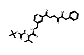 CC(C)[C@H](NC(=O)OC(C)(C)C)C(=O)NCc1ccnc(C(=O)CCC(=O)C(N)Cc2ccccc2)c1